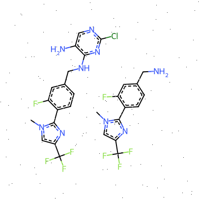 Cn1cc(C(F)(F)F)nc1-c1ccc(CN)cc1F.Cn1cc(C(F)(F)F)nc1-c1ccc(CNc2nc(Cl)ncc2N)cc1F